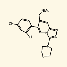 CNCc1cc2nnc(N3CCOCC3)n2cc1-c1ccc(Cl)cc1Cl